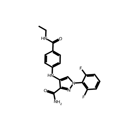 CCNC(=O)c1ccc(Nc2cn(-c3c(F)cccc3F)nc2C(N)=O)cc1